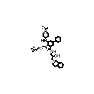 CC(=O)N1CCC(Nc2cc(-c3ccccc3)cc3c(NCC(O)CN4CCc5ccccc5C4)nn(COCC[Si](C)(C)C)c23)CC1